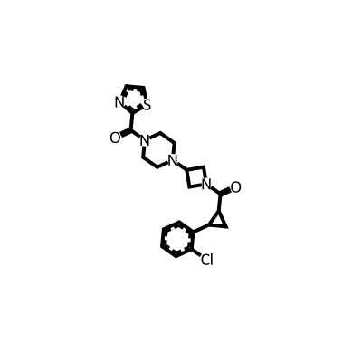 O=C(c1nccs1)N1CCN(C2CN(C(=O)C3CC3c3ccccc3Cl)C2)CC1